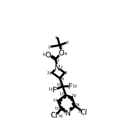 CC(C)(C)OC(=O)N1CC(C(F)(F)c2cc(Cl)nc(Cl)c2)C1